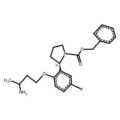 CC(N)CCOc1ccc(F)cc1[C@H]1CCCN1C(=O)OCc1ccccc1